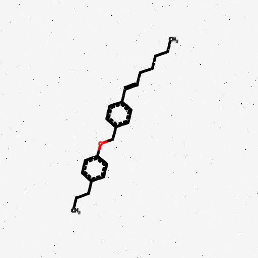 CCCCCC=Cc1ccc(COc2ccc(CCC)cc2)cc1